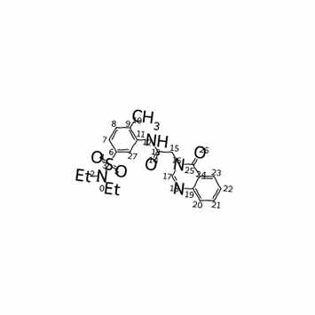 CCN(CC)S(=O)(=O)c1ccc(C)c(NC(=O)Cn2cnc3ccccc3c2=O)c1